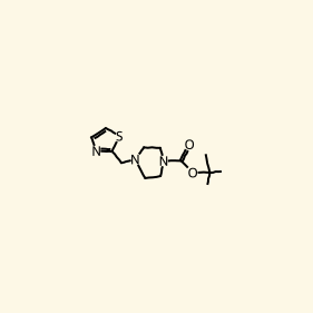 CC(C)(C)OC(=O)N1CCN(Cc2nccs2)CC1